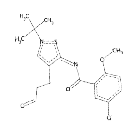 COc1ccc(Cl)cc1C(=O)/N=c1/sn(C(C)(C)C)cc1CCC=O